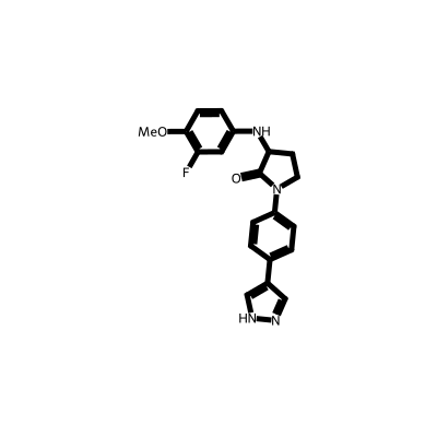 COc1ccc(NC2CCN(c3ccc(-c4cn[nH]c4)cc3)C2=O)cc1F